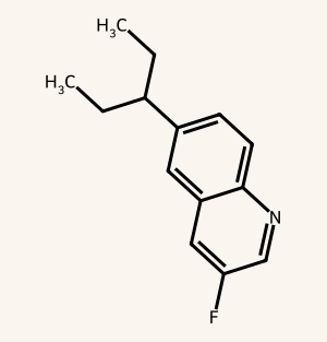 CCC(CC)c1ccc2ncc(F)cc2c1